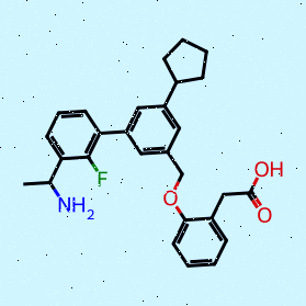 CC(N)c1cccc(-c2cc(COc3ccccc3CC(=O)O)cc(C3CCCC3)c2)c1F